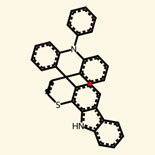 c1ccc(N2c3ccccc3C3(c4ccccc4Sc4c3ccc3c4[nH]c4ccccc43)c3ccccc32)cc1